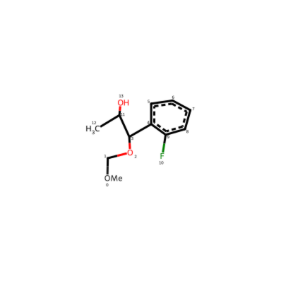 COCOC(c1ccccc1F)C(C)O